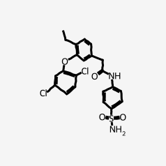 CCc1ccc(CC(=O)Nc2ccc(S(N)(=O)=O)cc2)cc1Oc1cc(Cl)ccc1Cl